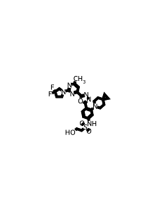 Cc1cc(-c2nnc(-c3ccc(NS(=O)(=O)CCO)cc3N3CCC4(CC3)CC4)o2)nc(N2CCC(F)(F)C2)n1